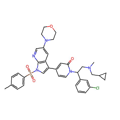 Cc1ccc(S(=O)(=O)n2cc(-c3ccn(C(CN(C)CC4CC4)c4cccc(Cl)c4)c(=O)c3)c3cc(N4CCOCC4)cnc32)cc1